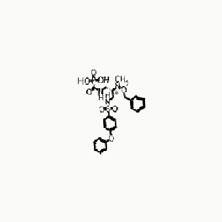 CN(OCc1ccccc1)[C@@H](CNC(=O)P(=O)(O)O)CNS(=O)(=O)c1ccc(Oc2ccccc2)cc1